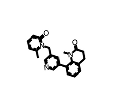 Cc1cccc(=O)n1Cc1cncc(-c2cccc3c2N(C)C(=O)CC3)c1